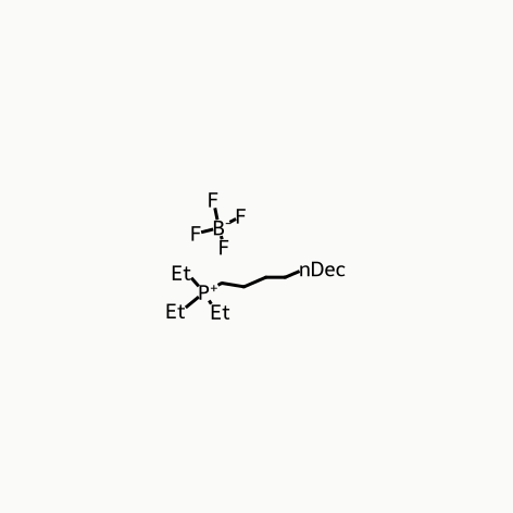 CCCCCCCCCCCCCC[P+](CC)(CC)CC.F[B-](F)(F)F